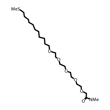 CNC(=O)COCCOCCOCCOCCOCCCCCCCCCCCSC